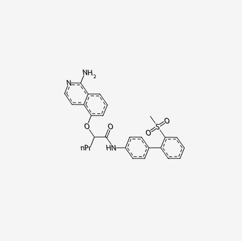 CCCC(Oc1cccc2c(N)nccc12)C(=O)Nc1ccc(-c2ccccc2S(C)(=O)=O)cc1